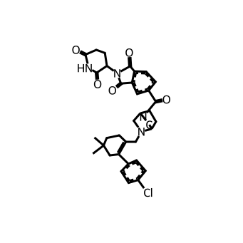 CC1(C)CCC(CN2CC3CCC2CN3C(=O)c2ccc3c(c2)C(=O)N(C2CCC(=O)NC2=O)C3=O)=C(c2ccc(Cl)cc2)C1